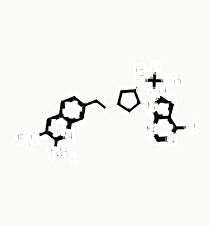 CC(C)(O)O[C@@H]1C[C@@H](CCc2ccc3cc(C(F)(F)F)c(N)nc3c2)C[C@H]1n1ccc2c(Cl)ncnc21